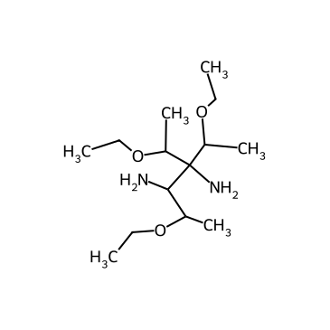 CCOC(C)C(N)C(N)(C(C)OCC)C(C)OCC